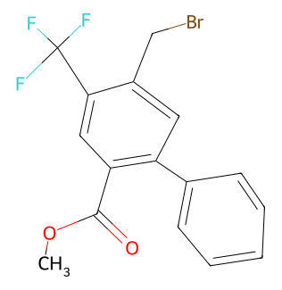 COC(=O)c1cc(C(F)(F)F)c(CBr)cc1-c1ccccc1